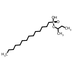 CCCCCCCCCCCCCCP(=O)(O)OC(C)CC